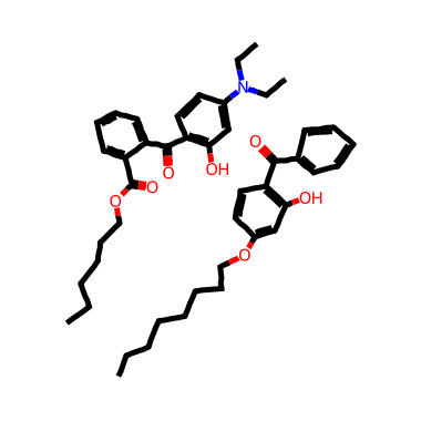 CCCCCCCCOc1ccc(C(=O)c2ccccc2)c(O)c1.CCCCCCOC(=O)c1ccccc1C(=O)c1ccc(N(CC)CC)cc1O